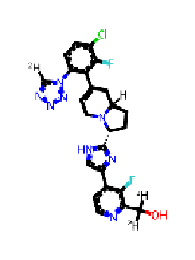 [2H]c1nnnn1-c1ccc(Cl)c(F)c1C1=CCN2[C@@H](CC[C@@H]2c2nc(-c3ccnc(C([2H])([2H])O)c3F)c[nH]2)C1